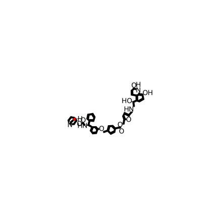 O=C(N[C@@H](c1ccccc1)c1cccc(OCc2ccc(C(=O)OCc3ccc(CNC[C@H](O)c4ccc(O)c5[nH]c(=O)ccc45)o3)cc2)c1)O[C@H]1CN2CCC1CC2